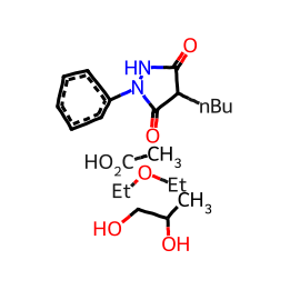 CC(=O)O.CC(O)CO.CCCCC1C(=O)NN(c2ccccc2)C1=O.CCOCC